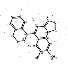 C[C@@H]1CCc2ccccc2N1c1nc2nncn2c2cc(N)c(F)cc12